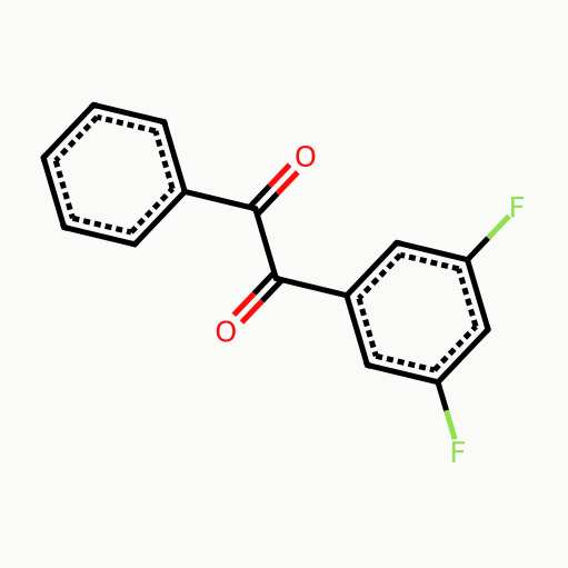 O=C(C(=O)c1cc(F)cc(F)c1)c1ccccc1